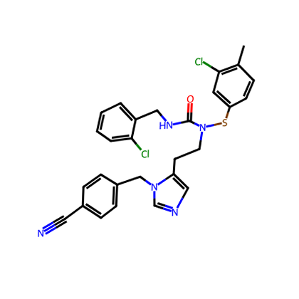 Cc1ccc(SN(CCc2cncn2Cc2ccc(C#N)cc2)C(=O)NCc2ccccc2Cl)cc1Cl